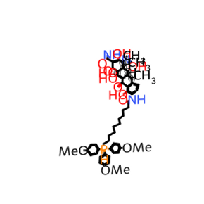 COc1ccc([PH](CCCCCCCCCCC(=O)Nc2ccc3c(c2O)C(=O)C2=C(O)[C@]4(O)C(=O)C(C(N)=O)=C(O)[C@@H](N(C)C)[C@@H]4[C@@H](O)[C@@H]2[C@H]3C)(c2ccc(OC)cc2)c2ccc(OC)cc2)cc1